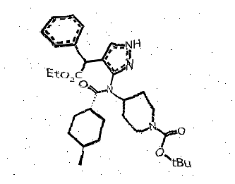 CCOC(=O)C(c1ccccc1)c1c[nH]nc1N(C(=O)[C@H]1CC[C@H](C)CC1)C1CCN(C(=O)OC(C)(C)C)CC1